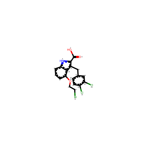 O=C(O)c1[nH]c2cccc(OCCBr)c2c1Cc1ccc(Cl)c(Cl)c1